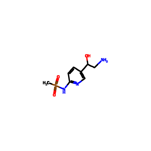 CS(=O)(=O)Nc1ccc(C(O)CN)cn1